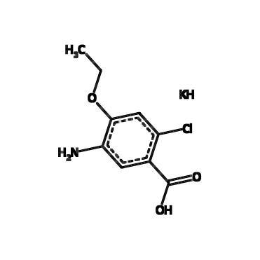 CCOc1cc(Cl)c(C(=O)O)cc1N.[KH]